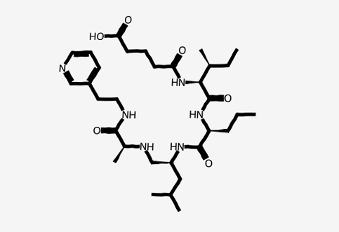 CCC[C@H](NC(=O)[C@@H](NC(=O)CCCC(=O)O)[C@@H](C)CC)C(=O)N[C@H](CN[C@@H](C)C(=O)NCCc1cccnc1)CC(C)C